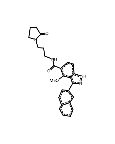 COc1c(C(=O)NCCCN2CCCC2=O)ccc2[nH]nc(-c3ccc4ccccc4c3)c12